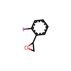 Ic1ccccc1C1CO1